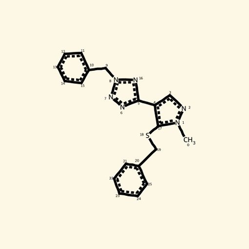 Cn1ncc(-c2nnn(Cc3ccccc3)n2)c1SCc1ccccc1